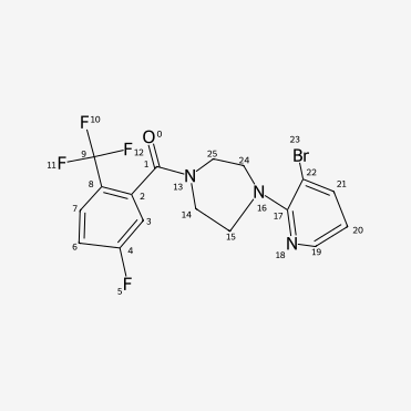 O=C(c1cc(F)ccc1C(F)(F)F)N1CCN(c2ncccc2Br)CC1